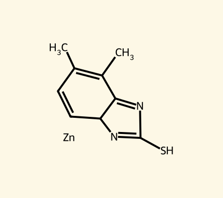 CC1=C(C)C2=NC(S)=NC2C=C1.[Zn]